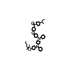 CCCCC(C)(CC)Oc1ccc(N(c2ccccc2)c2ccc(N(c3ccccc3)c3ccc(Oc4ccc(C(=O)c5ccc(C(C)CC)cc5)cc4)cc3)cc2)cc1